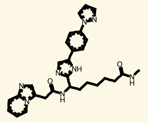 CNC(=O)CCCCCC(NC(=O)Cc1cnc2ccccn12)c1ncc(-c2ccc(-n3cccn3)cc2)[nH]1